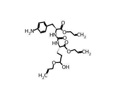 C=CCOC(=O)[C@H](CCC(O)OCC=C)NC(=O)N[C@@H](Cc1ccc(N)cc1)C(=O)OCC=C